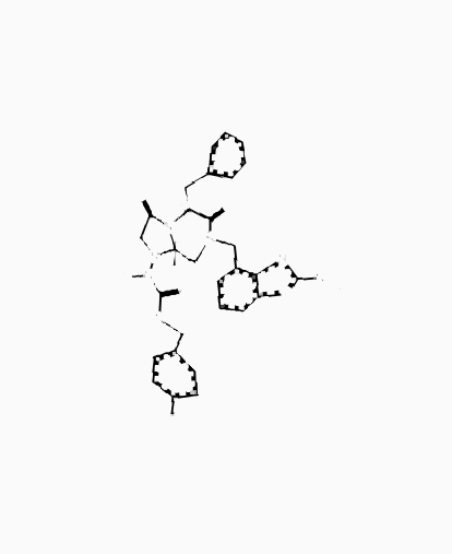 CC(C)N(C(=O)NCc1ccc(F)cc1)N1CC(=O)N2[C@@H](Cc3ccccc3)C(=O)N(Cc3cccc4sc(N)nc34)C[C@@H]21